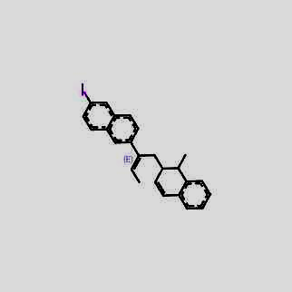 C/C=C(\CC1C=Cc2ccccc2C1C)c1ccc2cc(I)ccc2c1